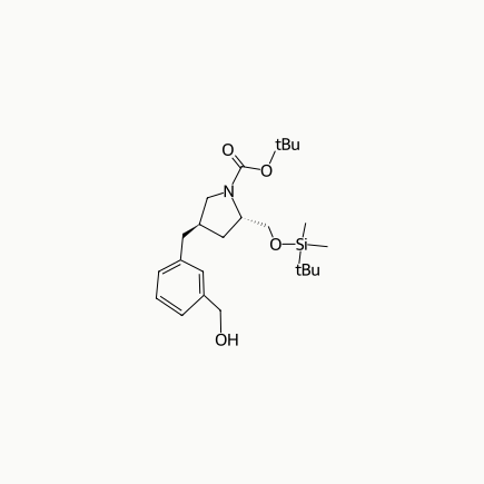 CC(C)(C)OC(=O)N1C[C@H](Cc2cccc(CO)c2)C[C@H]1CO[Si](C)(C)C(C)(C)C